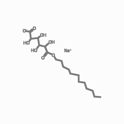 CCCCCCCCCCCCOC(=O)C(O)C(O)C(O)C(O)C(=O)[O-].[Na+]